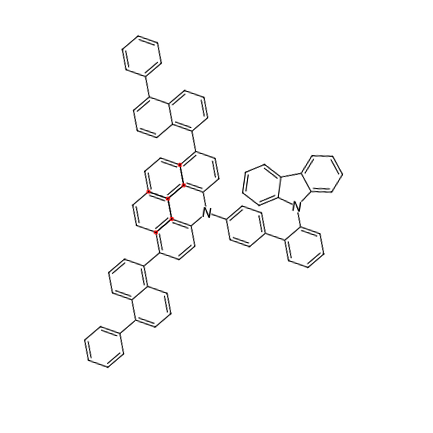 c1ccc(-c2cc(-c3cccc4c(-c5ccccc5)cccc34)ccc2N(c2ccc(-c3ccccc3-n3c4ccccc4c4ccccc43)cc2)c2ccc(-c3cccc4c(-c5ccccc5)cccc34)cc2-c2ccccc2)cc1